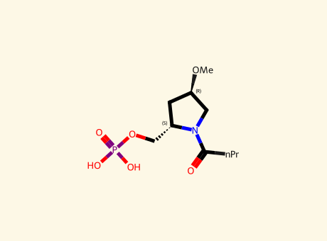 CCCC(=O)N1C[C@H](OC)C[C@H]1COP(=O)(O)O